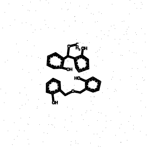 COC(c1ccccc1O)c1ccccc1O.Oc1ccccc1COCc1ccccc1O